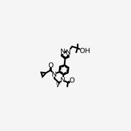 CC(=O)N1c2ccc(-c3cnn(CC(C)(C)O)c3)cc2N(C(=O)C2CC2)C[C@@H]1C